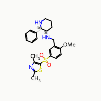 COc1ccc(S(=O)(=O)c2sc(C)nc2C)cc1CN[C@H]1CCCN[C@H]1c1ccccc1